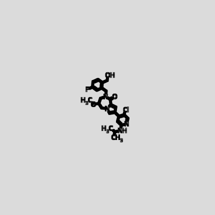 COC1CN(Cc2cc(F)ccc2CO)C(=O)c2cc(-c3cc(NC(C)C)ncc3Cl)cn2C1